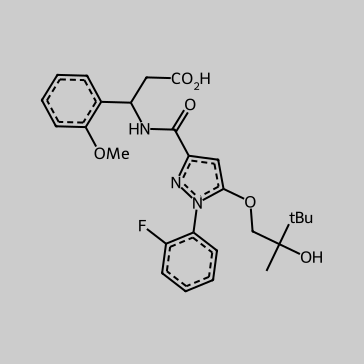 COc1ccccc1C(CC(=O)O)NC(=O)c1cc(OCC(C)(O)C(C)(C)C)n(-c2ccccc2F)n1